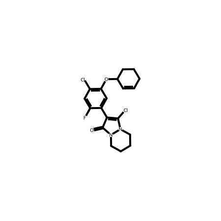 O=c1c(-c2cc(OC3C=CCCC3)c(Cl)cc2F)c(Cl)n2n1CCCC2